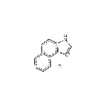 [C+]1=CNc2ccc3ccccc3c21.[Cl-]